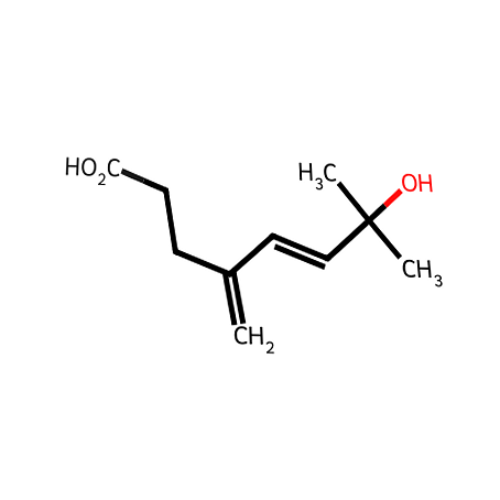 C=C(C=CC(C)(C)O)CCC(=O)O